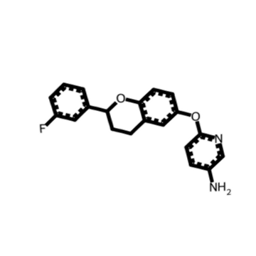 Nc1ccc(Oc2ccc3c(c2)CCC(c2cccc(F)c2)O3)nc1